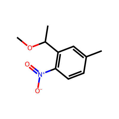 COC(C)c1cc(C)ccc1[N+](=O)[O-]